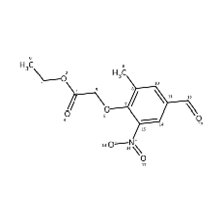 CCOC(=O)COc1c(C)cc(C=O)cc1[N+](=O)[O-]